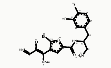 CC/C(C=N)=C(/NC)c1cc(C(=O)NC(CN)Cc2ccc(F)c(F)c2)oc1CC